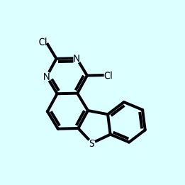 Clc1nc(Cl)c2c(ccc3sc4ccccc4c32)n1